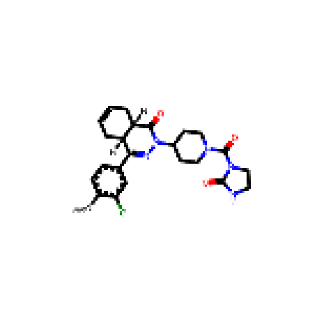 COc1ccc(C2=NN(C3CCN(C(=O)N4CCNC4=O)CC3)C(=O)[C@H]3CC=CC[C@@H]23)cc1Cl